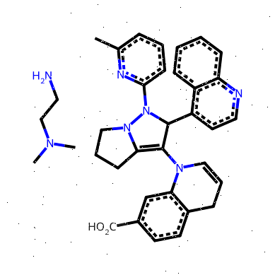 CN(C)CCN.Cc1cccc(N2C(c3ccnc4ccccc34)C(N3C=CCc4ccc(C(=O)O)cc43)=C3CCCN32)n1